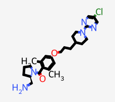 Cc1cc(OCCCC2CCN(c3ncc(Cl)cn3)CC2)cc(C)c1C(=O)N1CCC[C@@H]1CN